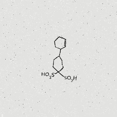 O=S(=O)(O)C1(S(=O)(=O)O)CCC(C2C=CCCC2)CC1